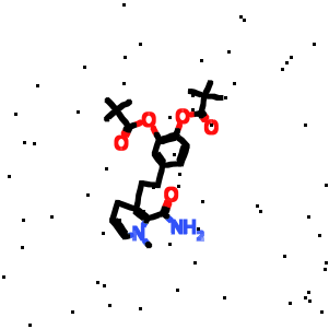 CN1C=CCC(CCc2ccc(OC(=O)C(C)(C)C)c(OC(=O)C(C)(C)C)c2)=C1C(N)=O